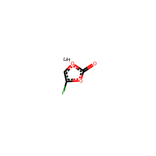 O=c1occ(F)o1.[LiH]